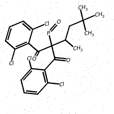 CC(CC(C)(C)C)C(P=O)(C(=O)c1c(Cl)cccc1Cl)C(=O)c1c(Cl)cccc1Cl